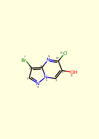 Oc1cn2ncc(Br)c2nc1Cl